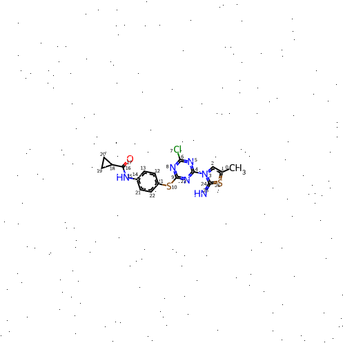 Cc1cn(-c2nc(Cl)nc(Sc3ccc(NC(=O)C4CC4)cc3)n2)c(=N)s1